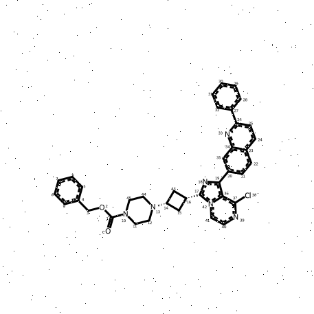 O=C(OCc1ccccc1)N1CCN([C@H]2C[C@@H](c3nc(-c4ccc5ccc(-c6ccccc6)nc5c4)c4c(Cl)nccn43)C2)CC1